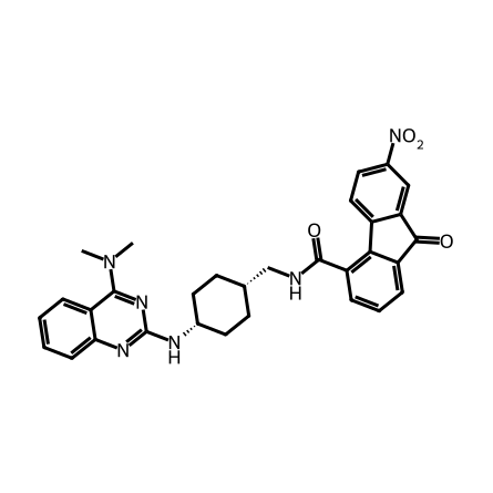 CN(C)c1nc(N[C@H]2CC[C@@H](CNC(=O)c3cccc4c3-c3ccc([N+](=O)[O-])cc3C4=O)CC2)nc2ccccc12